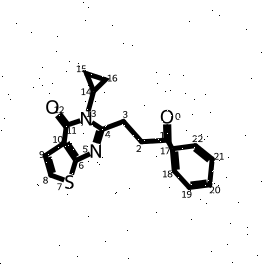 O=C(CCc1nc2sccc2c(=O)n1C1CC1)c1ccccc1